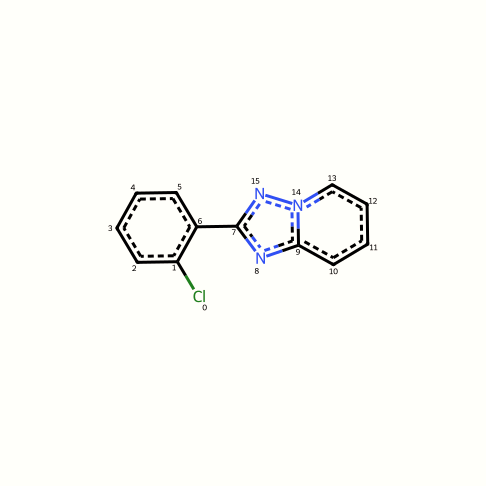 Clc1ccccc1-c1nc2ccccn2n1